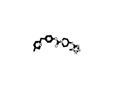 Cc1ccc(Cc2ccc(OC(=O)N3CCC(Sc4nnnn4C)CC3)cc2)nc1